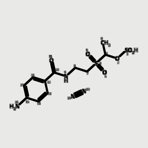 CC(OS(=O)(=O)O)S(=O)(=O)CCNC(=O)c1ccc(N)cc1.N#N